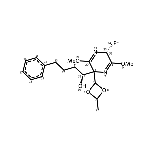 COC1=NC(C2OC(C)O2)([C@@H](O)CCCc2ccccc2)C(OC)=N[C@@H]1C(C)C